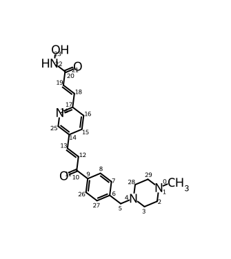 CN1CCN(Cc2ccc(C(=O)/C=C/c3ccc(/C=C/C(=O)NO)nc3)cc2)CC1